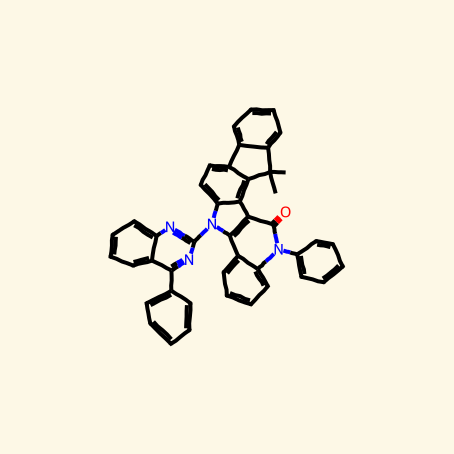 CC1(C)c2ccccc2-c2ccc3c(c21)c1c(=O)n(-c2ccccc2)c2ccccc2c1n3-c1nc(-c2ccccc2)c2ccccc2n1